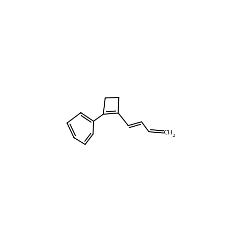 C=CC=CC1=C(c2ccccc2)CC1